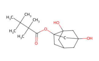 CC(C)(C)C(C)(C)C(=O)OC12CC3CC(O)(CC1(O)C3)C2